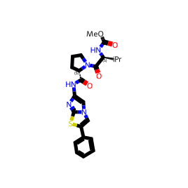 COC(=O)N[C@H](C(=O)N1CCC[C@H]1C(=O)Nc1cn2cc(-c3ccccc3)sc2n1)C(C)C